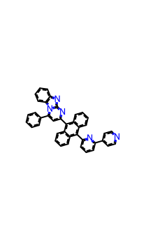 c1ccc(-c2cc(-c3c4ccccc4c(-c4cccc(-c5ccncc5)n4)c4ccccc34)nc3nc4ccccc4n23)cc1